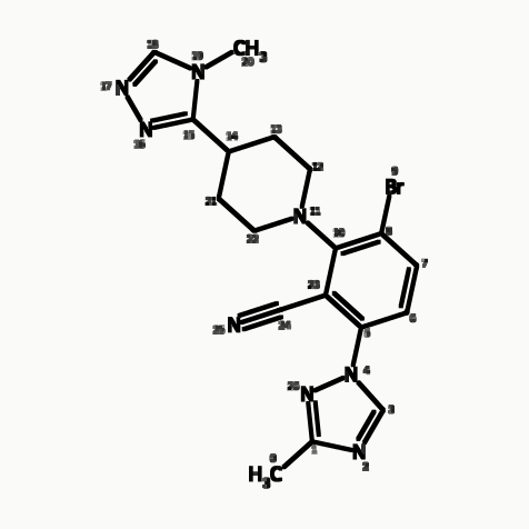 Cc1ncn(-c2ccc(Br)c(N3CCC(c4nncn4C)CC3)c2C#N)n1